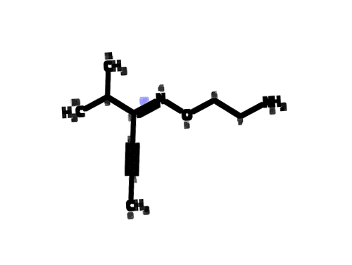 CC#C/C(=N\OCCN)C(C)C